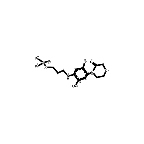 CC(C)[Si](OCCCNc1cc(Br)c(N2CCOCC2=O)cc1N)(C(C)C)C(C)C